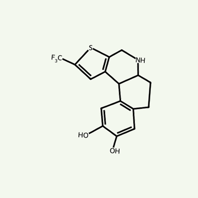 Oc1cc2c(cc1O)C1c3cc(C(F)(F)F)sc3CNC1CC2